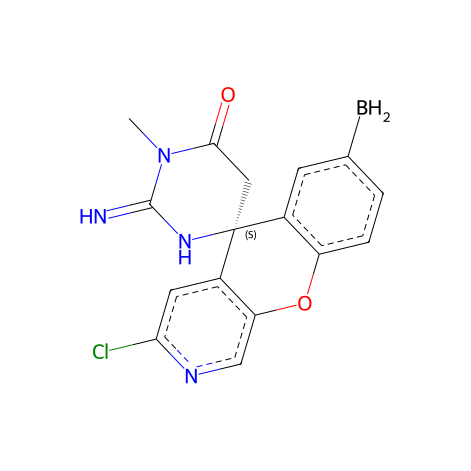 Bc1ccc2c(c1)[C@@]1(CC(=O)N(C)C(=N)N1)c1cc(Cl)ncc1O2